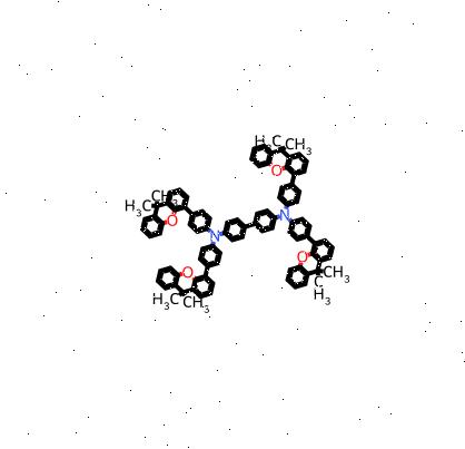 CC1(C)c2ccccc2Oc2c(-c3ccc(N(c4ccc(-c5ccc(N(c6ccc(-c7cccc8c7Oc7ccccc7C8(C)C)cc6)c6ccc(-c7cccc8c7Oc7ccccc7C8(C)C)cc6)cc5)cc4)c4ccc(-c5cccc6c5Oc5ccccc5C6(C)C)cc4)cc3)cccc21